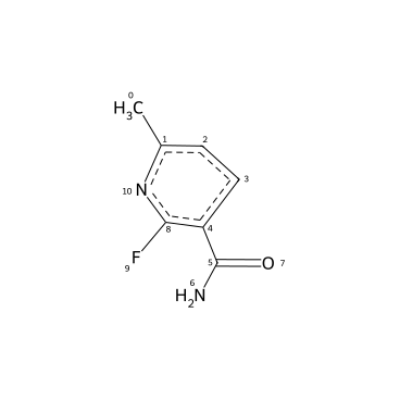 Cc1ccc(C(N)=O)c(F)n1